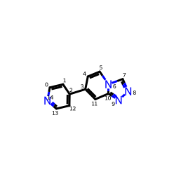 c1cc(-c2ccn3cnnc3c2)ccn1